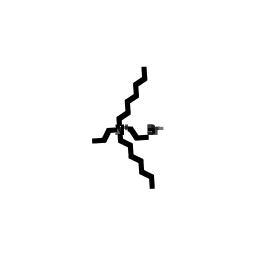 CCCCCCC[N+](CCC)(CCC)CCCCCCC.[Br-]